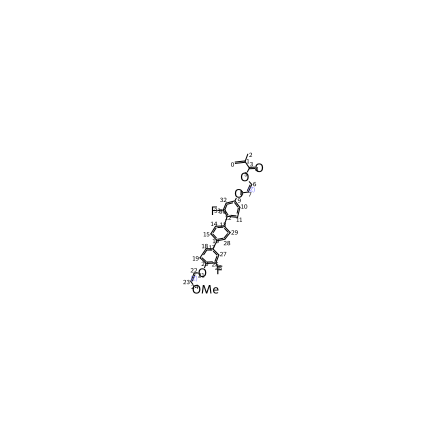 C=C(C)C(=O)O/C=C\Oc1ccc(-c2ccc(-c3ccc(O/C=C\OC)c(F)c3)cc2)c(F)c1